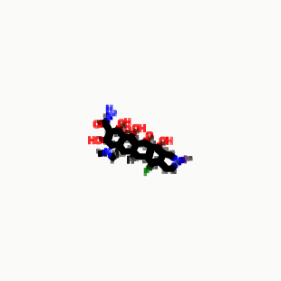 CN(C)[C@@H]1C(O)=C(C(N)=O)C(=O)[C@@]2(O)C(O)=C3C(=O)c4c(O)c5c(c(F)c4C[C@H]3C[C@@H]12)CCN(I)C5